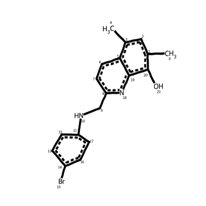 Cc1cc(C)c2ccc(CNc3ccc(Br)cc3)nc2c1O